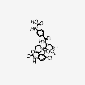 CO[C@@H](C)C[C@H](NC(=O)c1ccc(NC(=O)O)cc1)C(=O)N1CCC[C@@]2(C1)OC(=O)Nc1ccc(Cl)c(F)c12